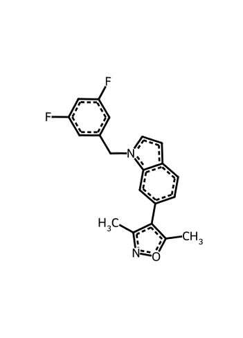 Cc1noc(C)c1-c1ccc2ccn(Cc3cc(F)cc(F)c3)c2c1